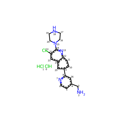 Cl.Cl.NCc1ccnc(-c2ccc3nc(N4CCNCC4)c(Cl)cc3c2)c1